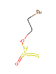 O=[SH](=S)OCCBr